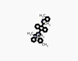 C=C/C(=C\C(=C/C)P(=C)(c1ccccc1)c1ccc(C)cc1)c1c2ccccc2c(C(=C)/C=C\c2ccccc2C)c2ccccc12